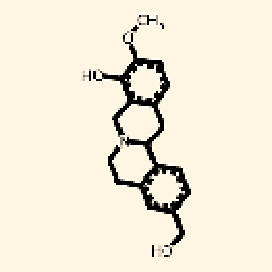 COc1ccc2c(c1O)CN1CCc3cc(CO)ccc3C1C2